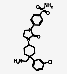 NCC1(c2cccc(Cl)c2)CCC(N2CCN(c3ccc(S(N)(=O)=O)cc3)C2=O)CC1